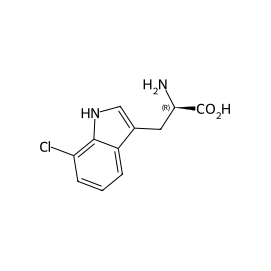 N[C@H](Cc1c[nH]c2c(Cl)cccc12)C(=O)O